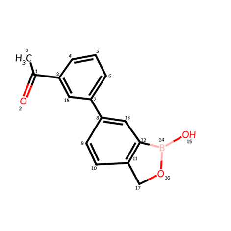 CC(=O)c1cccc(-c2ccc3c(c2)B(O)OC3)c1